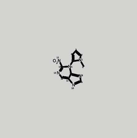 Cn1cccc1-n1c2ncnc-2cnc1[N+](=O)[O-]